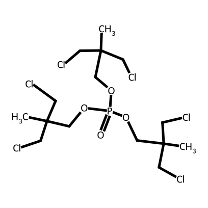 CC(CCl)(CCl)COP(=O)(OCC(C)(CCl)CCl)OCC(C)(CCl)CCl